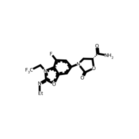 CC/N=c1\oc2cc(N3C[C@H](C(N)=O)OC3=O)cc(F)c2n1CC(F)(F)F